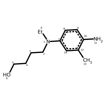 CCN(CCCCO)c1ccc(N)c(C)c1